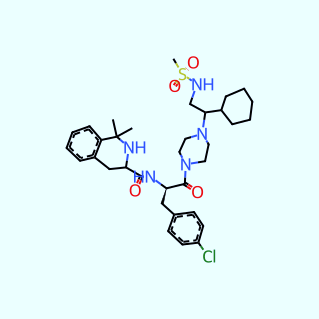 CC1(C)NC(C(=O)N[C@H](Cc2ccc(Cl)cc2)C(=O)N2CCN(C(CNS(C)(=O)=O)C3CCCCC3)CC2)Cc2ccccc21